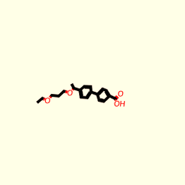 CCOCCCOC(C)c1ccc(-c2ccc(C(=O)O)cc2)cc1